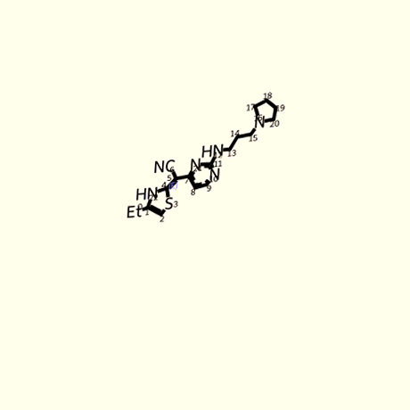 CCC1=CS/C(=C(/C#N)c2ccnc(NCCCN3CCCC3)n2)N1